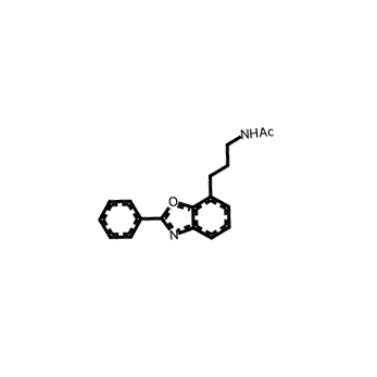 CC(=O)NCCCc1cccc2nc(-c3ccccc3)oc12